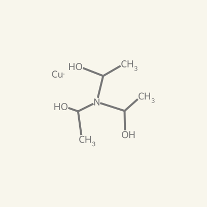 CC(O)N(C(C)O)C(C)O.[Cu]